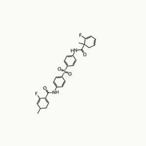 CC1C=C(F)C(C(=O)Nc2ccc(S(=O)(=O)c3ccc(NC(=O)C4(C)CC=CC=C4F)cc3)cc2)=CC1